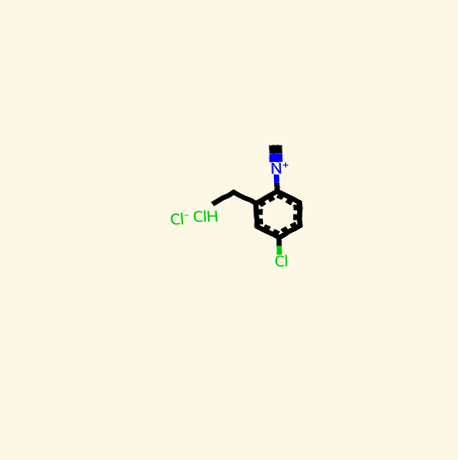 C#[N+]c1ccc(Cl)cc1CC.Cl.[Cl-]